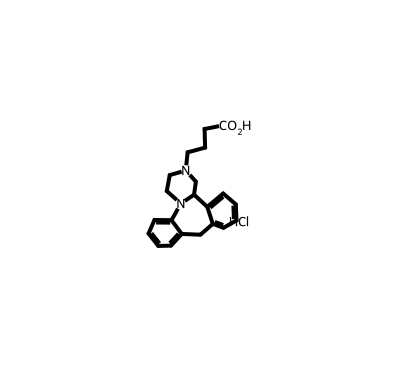 Cl.O=C(O)CCCN1CCN2c3ccccc3Cc3ccccc3C2C1